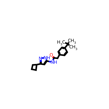 CC(C)(C)c1ccc(CC(=O)Nc2cc(C3CCC3)n[nH]2)cc1